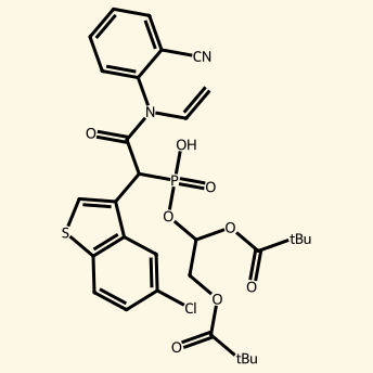 C=CN(C(=O)C(c1csc2ccc(Cl)cc12)P(=O)(O)OC(COC(=O)C(C)(C)C)OC(=O)C(C)(C)C)c1ccccc1C#N